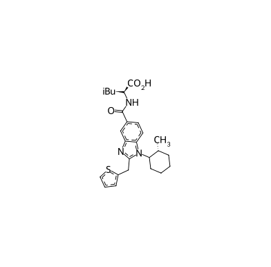 CC[C@H](C)[C@H](NC(=O)c1ccc2c(c1)nc(Cc1cccs1)n2C1CCCC[C@H]1C)C(=O)O